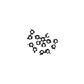 Cc1ccc2c(c1)c1ccccc1n2-c1ccc(-c2c(-c3ccncc3)c(C#N)c(-c3ccc(-n4c5ccc(C)cc5c5cc(C)ccc54)cc3)c(-c3ccc(-n4c5ccc(C)cc5c5cc(C)ccc54)cc3)c2-c2ccc(-n3c4ccc(C)cc4c4cc(C)ccc43)cc2)cc1